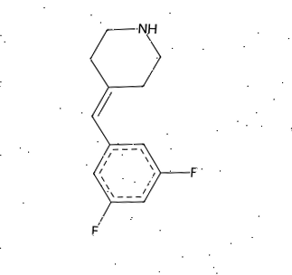 Fc1cc(F)cc(C=C2CCNCC2)c1